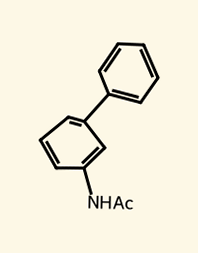 CC(=O)Nc1cccc(-c2ccccc2)c1